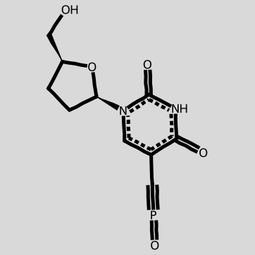 O=P#Cc1cn([C@H]2CC[C@@H](CO)O2)c(=O)[nH]c1=O